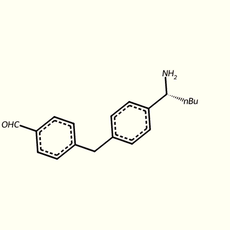 CCCC[C@@H](N)c1ccc(Cc2ccc(C=O)cc2)cc1